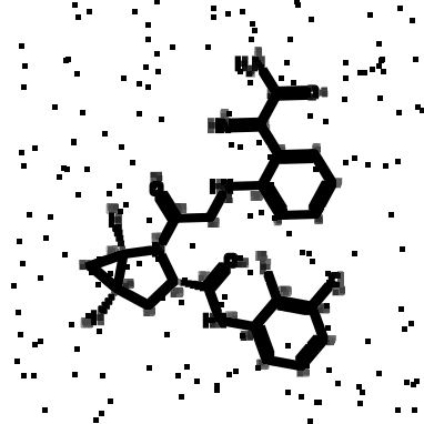 N=C(C(N)=O)c1ccccc1NCC(=O)N1[C@@H]2C[C@@H]2C[C@H]1C(=O)Nc1cccc(Cl)c1F